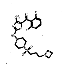 Nc1nc(NC2CCN(S(=O)(=O)CCCN3CCC3)CC2)sc1C(=O)c1c(F)cccc1F